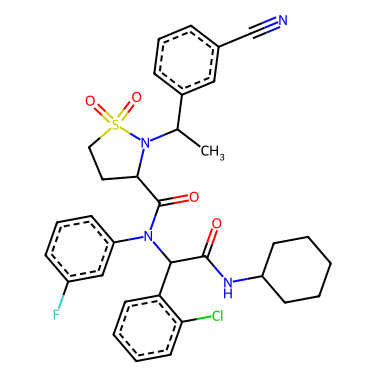 CC(c1cccc(C#N)c1)N1C(C(=O)N(c2cccc(F)c2)C(C(=O)NC2CCCCC2)c2ccccc2Cl)CCS1(=O)=O